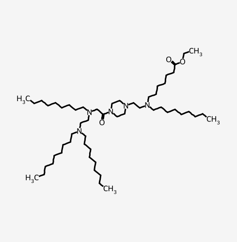 CCCCCCCCCN(CCCCCCC(=O)OCC)CCN1CCN(C(=O)CN(CCCCCCCCC)CCN(CCCCCCCCC)CCCCCCCCC)CC1